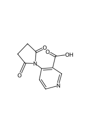 O=C(O)c1cnccc1N1C(=O)CCC1=O